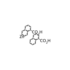 O=C(O)c1cccc2ccccc12.O=C(O)c1cccc2ccccc12.[Zn]